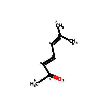 CC(=O)/C=C/C=C(C)C